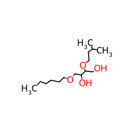 CCCCCCOCC(O)C(CO)OCCC(C)C